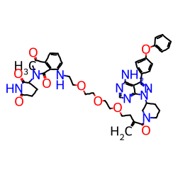 C=C(CCOCCOCCOCCNc1cccc(C=O)c1C(=O)N(C)C1CCC(=O)NC1=O)C(=O)N1CCCC(n2nc(-c3ccc(Oc4ccccc4)cc3)c3c(N)ncnc32)C1